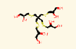 OCC(O)CSCC(CSCC(O)CO)(CSCC(O)CO)CSCC(O)CO